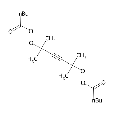 CCCCC(=O)OOC(C)(C)C#CC(C)(C)OOC(=O)CCCC